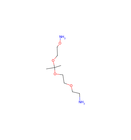 CC(C)(OCCON)OCCOCCN